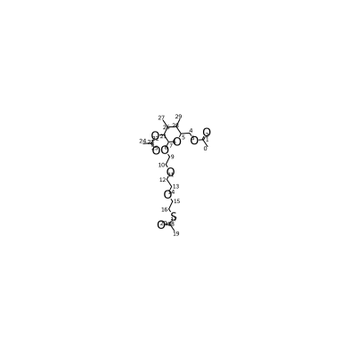 CC(=O)OCC1OC(OCCOCCOCCSC(C)=O)C(OC(C)=O)C(C)C1C